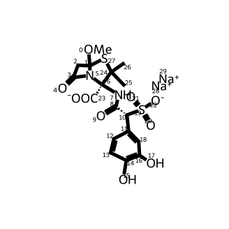 COC12CC(=O)N1[C@@](NC(=O)[C@@H](c1ccc(O)c(O)c1)S(=O)(=O)[O-])(C(=O)[O-])C(C)(C)S2.[Na+].[Na+]